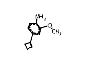 COc1cc(C2CCC2)ccc1N